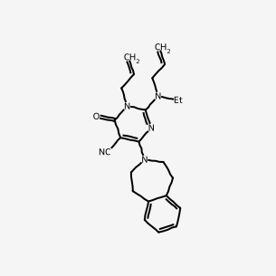 C=CCN(CC)c1nc(N2CCc3ccccc3CC2)c(C#N)c(=O)n1CC=C